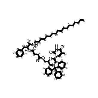 CCCCCCCCCCCCCCCCCCNC(=O)C(Cc1ccccc1)NC(=O)CCC(=O)OC[C@@H]1CN(C(c2ccccc2)(c2ccccc2)c2ccccc2)C[C@H](n2cc(C)c(=O)[nH]c2=O)O1